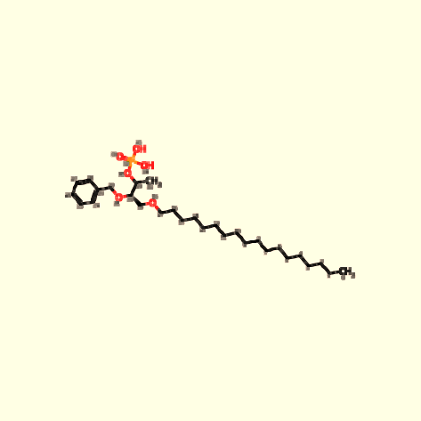 CCCCCCCCCCCCCCCCCCOC[C@@H](OCc1ccccc1)C(C)OP(=O)(O)O